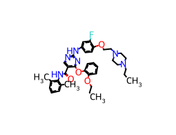 CCCOc1ccccc1Oc1nc(Nc2ccc(OCCN3CCN(CCC)CC3)c(F)c2)ncc1C(=O)Nc1c(C)cccc1C